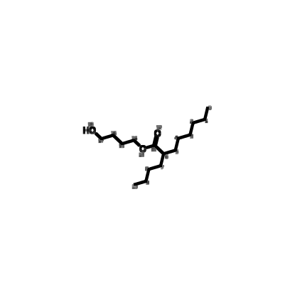 CCCCCCC(CCCC)C(=O)OCCCCO